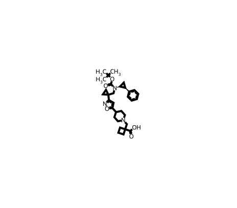 CC(C)(C)OC(=O)N(CC1(c2cc(C3CCN(CC4(C(=O)O)CCC4)CC3)on2)CC1)[C@@H]1C[C@H]1c1ccccc1